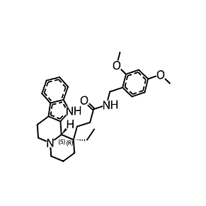 CC[C@]1(CCC(=O)NCc2ccc(OC)cc2OC)CCCN2CCc3c([nH]c4ccccc34)[C@@H]21